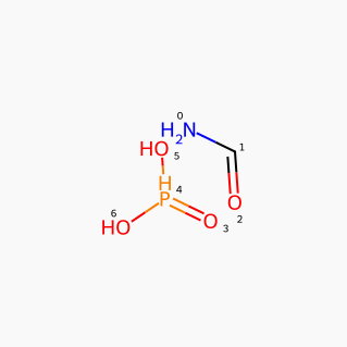 NC=O.O=[PH](O)O